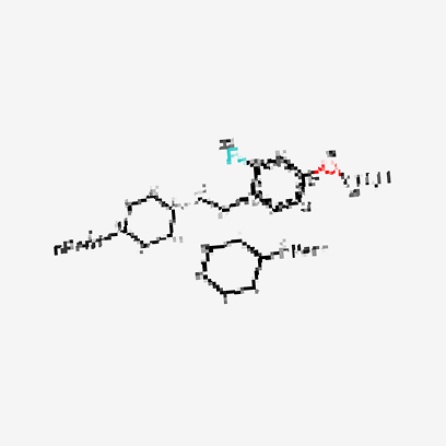 CCCCCC1CCCCC1.CCCCC[C@H]1CC[C@H](CCc2ccc(OC(=O)O)cc2F)CC1